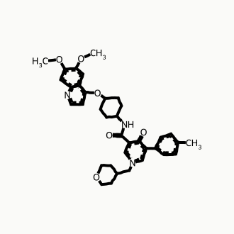 COc1cc2nccc(OC3CCC(NC(=O)c4cn(CC5CCOCC5)cc(-c5ccc(C)cc5)c4=O)CC3)c2cc1OC